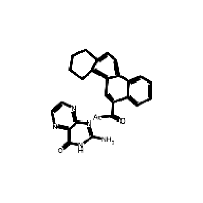 CC(=O)C(=O)c1cc2c3c(ccc2c2ccccc12)CCCC3.Nc1nc2nccnc2c(=O)[nH]1